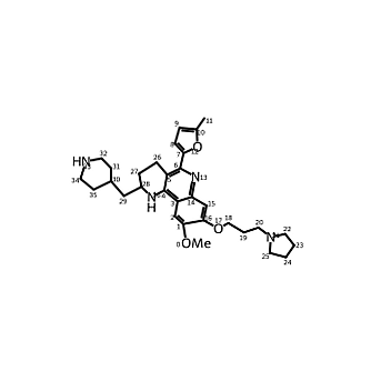 COc1cc2c3c(c(-c4ccc(C)o4)nc2cc1OCCCN1CCCC1)CCC(CC1CCNCC1)N3